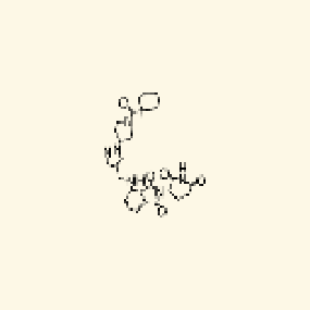 CC1(C(=O)N2CCC(n3cc(CNc4cccc5c4C(=O)N(C4CCC(=O)NC4=O)C5=O)cn3)CC2)CCCCC1